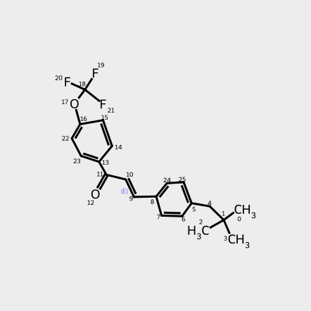 CC(C)(C)Cc1ccc(/C=C/C(=O)c2ccc(OC(F)(F)F)cc2)cc1